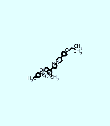 Cc1ccc(S(=O)(=O)n2ccc3c(-c4ccc(N5CCC(c6ccc(OCCC(C)C)cc6)CC5)nc4)cn(C)c(=O)c32)cc1